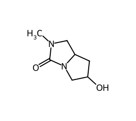 CN1CC2CC(O)CN2C1=O